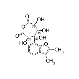 Cc1oc2c([C@]3(O)[C@H](O)[C@H](O)C(=O)OC(=O)[C@@H]3O)cccc2c1C